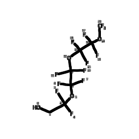 OCC(F)(F)OC(F)(F)C(F)(F)OC(F)(F)C(F)(F)OC(F)(F)F